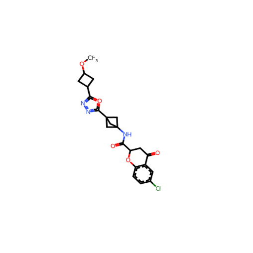 O=C1CC(C(=O)NC23CC(c4nnc(C5CC(OC(F)(F)F)C5)o4)(C2)C3)Oc2ccc(Cl)cc21